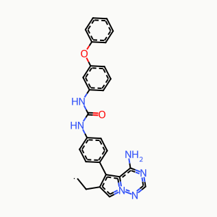 [CH2]Cc1cn2ncnc(N)c2c1-c1ccc(NC(=O)Nc2cccc(Oc3ccccc3)c2)cc1